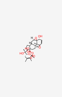 CC(=O)OC[C@]12CC[C@H]3[C@@H](C[C@H]4O[C@]45[C@H](O)C=CC(=O)[C@]35C)[C@]1(O)CC[C@@]2(O)[C@@](C)(O)[C@H]1CC(C)=C(C)C(=O)O1